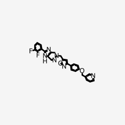 Fc1cccc(-c2nc3c([nH]2)C=NN(Cc2cc(-c4ccc(OCc5cccnc5)cc4)no2)C3)c1F